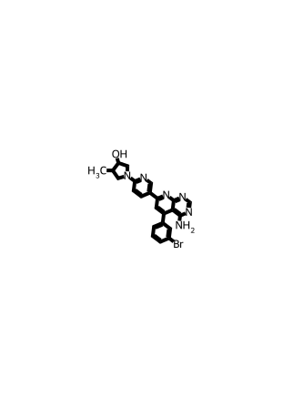 CC1CN(c2ccc(-c3cc(-c4cccc(Br)c4)c4c(N)ncnc4n3)cn2)CC1O